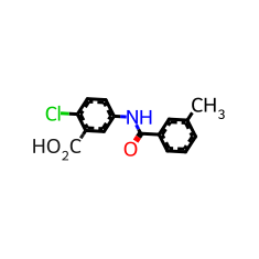 Cc1cccc(C(=O)Nc2ccc(Cl)c(C(=O)O)c2)c1